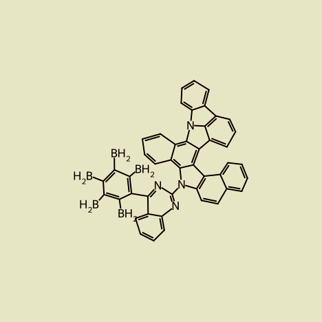 Bc1c(B)c(B)c(-c2nc(-n3c4ccc5ccccc5c4c4c5c6cccc7c8ccccc8n(c76)c5c5ccccc5c43)nc3ccccc23)c(B)c1B